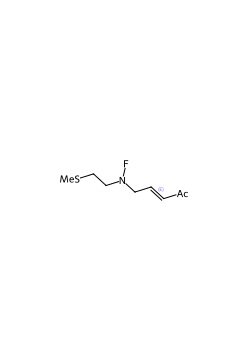 CSCCN(F)C/C=C/C(C)=O